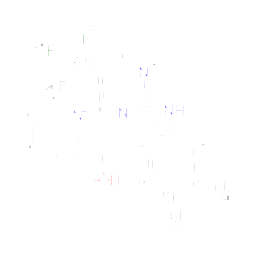 OCC1CCCCN1c1nc(Nc2ccc(Cl)c(Cl)c2)ncc1C(F)(F)F